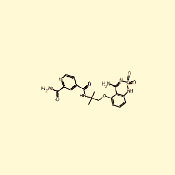 CC(C)(COc1cccc2c1C(N)=NS(=O)(=O)N2)NC(=O)c1ccnc(C(N)=O)c1